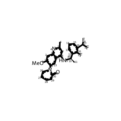 COc1cc2nc(C)cc(N[C@H](C)c3cccc(C(F)F)c3F)c2cc1-n1ccccc1=O